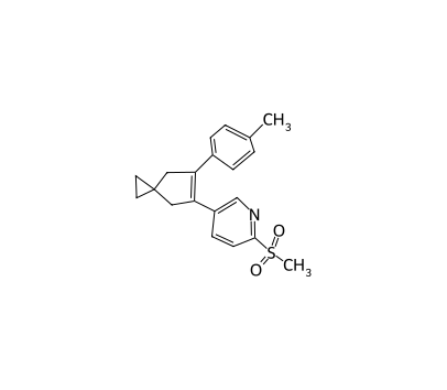 Cc1ccc(C2=C(c3ccc(S(C)(=O)=O)nc3)CC3(CC3)C2)cc1